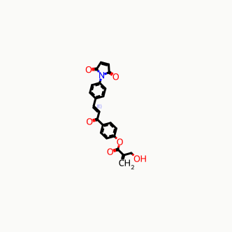 C=C(CO)C(=O)Oc1ccc(C(=O)/C=C/c2ccc(N3C(=O)C=CC3=O)cc2)cc1